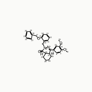 COc1ccc(C2=NN(Cc3ccccc3OCc3ccccc3)C(=O)[C@@H]3CCCC[C@H]23)cc1OC